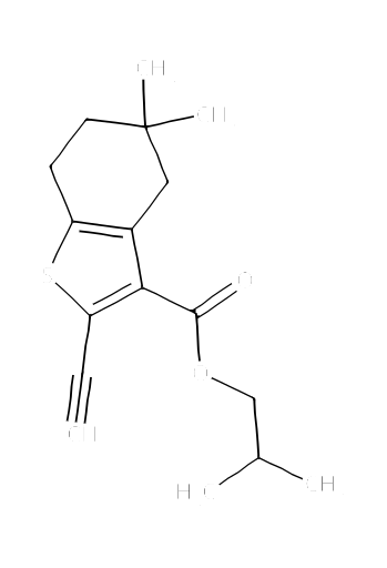 C#Cc1sc2c(c1C(=O)OCC(C)C)CC(C)(C)CC2